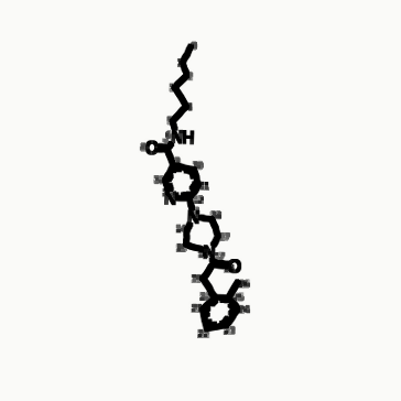 CCCCCCNC(=O)c1ccc(N2CCN(C(=O)Cc3ccccc3C)CC2)nc1